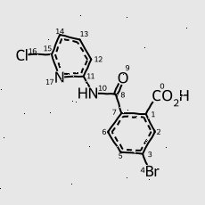 O=C(O)c1cc(Br)ccc1C(=O)Nc1cccc(Cl)n1